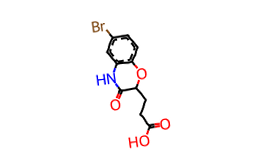 O=C(O)CCC1Oc2ccc(Br)cc2NC1=O